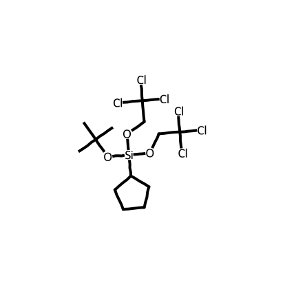 CC(C)(C)O[Si](OCC(Cl)(Cl)Cl)(OCC(Cl)(Cl)Cl)C1CCCC1